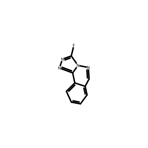 Fc1nnc2c3ccccc3cnn12